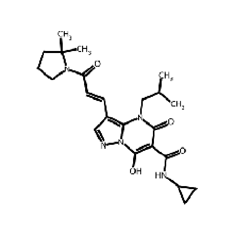 CC(C)Cn1c(=O)c(C(=O)NC2CC2)c(O)n2ncc(/C=C/C(=O)N3CCCC3(C)C)c12